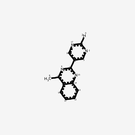 [2H]c1ncc(-c2nc(C)c3ccccc3n2)cn1